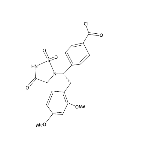 COc1ccc(C[C@@H](c2ccc(C(=O)Cl)cc2)N2CC(=O)NS2(=O)=O)c(OC)c1